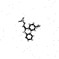 CN(C)CC=C(Sc1ccccc1)c1ccc(Br)cc1